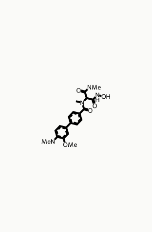 CNC(=O)C(C(=O)NO)N(C)C(=O)c1ccc(-c2ccc(NC)c(OC)c2)cc1